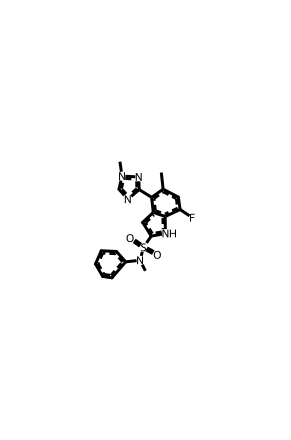 Cc1cc(F)c2[nH]c(S(=O)(=O)N(C)c3ccccc3)cc2c1-c1ncn(C)n1